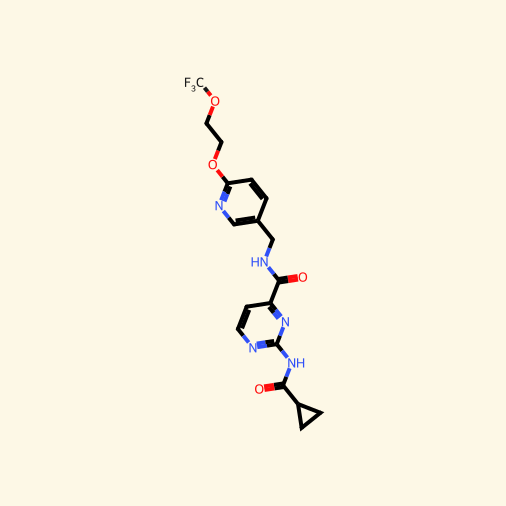 O=C(NCc1ccc(OCCOC(F)(F)F)nc1)c1ccnc(NC(=O)C2CC2)n1